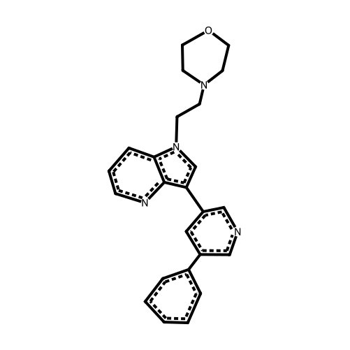 c1ccc(-c2cncc(-c3cn(CCN4CCOCC4)c4cccnc34)c2)cc1